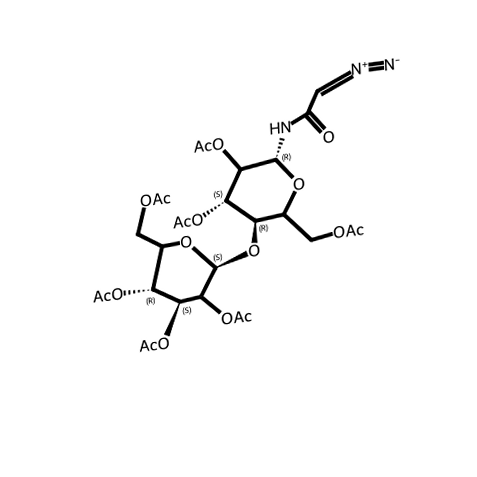 CC(=O)OCC1O[C@@H](O[C@@H]2C(COC(C)=O)O[C@@H](NC(=O)C=[N+]=[N-])C(OC(C)=O)[C@H]2OC(C)=O)C(OC(C)=O)[C@@H](OC(C)=O)[C@@H]1OC(C)=O